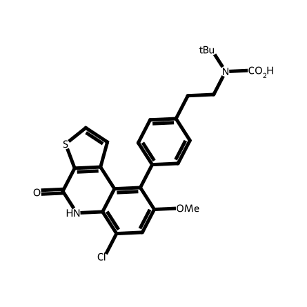 COc1cc(Cl)c2[nH]c(=O)c3sccc3c2c1-c1ccc(CCN(C(=O)O)C(C)(C)C)cc1